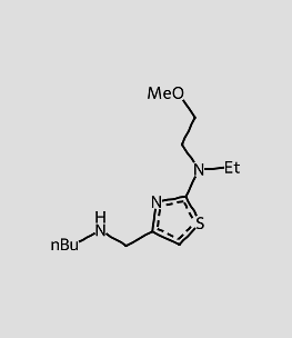 CCCCNCc1csc(N(CC)CCOC)n1